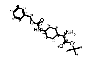 CC(C)(C)OC(=O)C(N)C1CCC(NC(=O)OCc2ccccc2)CC1